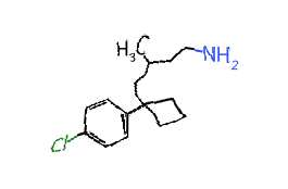 CC(CCN)CC1(c2ccc(Cl)cc2)CCC1